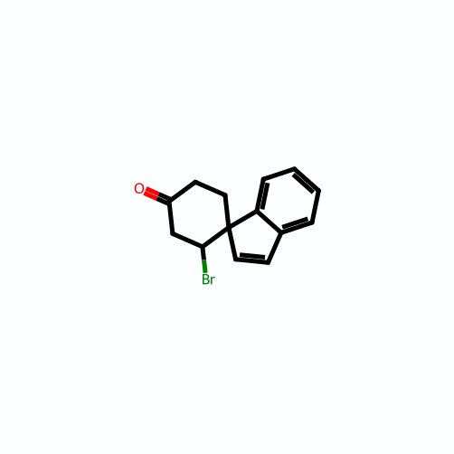 O=C1CCC2(C=Cc3ccccc32)C(Br)C1